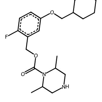 CC1CNCC(C)N1C(=O)OCc1cc(OCC2CCCCC2)ccc1F